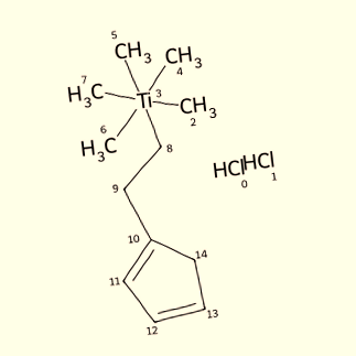 Cl.Cl.[CH3][Ti]([CH3])([CH3])([CH3])([CH3])[CH2]CC1=CC=CC1